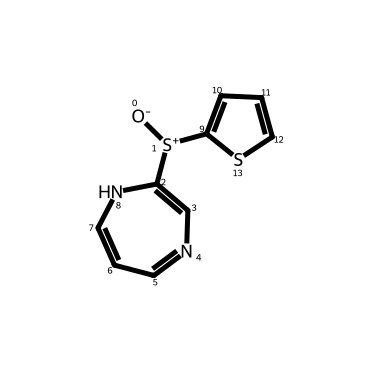 [O-][S+](C1=CN=CC=CN1)c1cccs1